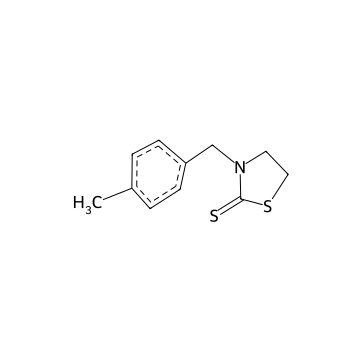 Cc1ccc(CN2CCSC2=S)cc1